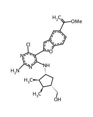 C=C(OC)c1ccc2oc(-c3c(Cl)nc(N)nc3N[C@@H]3C[C@H](CO)[C@@H](C)[C@H]3C)cc2c1